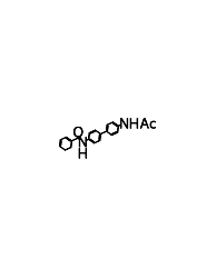 CC(=O)Nc1ccc(-c2ccc(NC(=O)C3=CC=CCC3)cc2)cc1